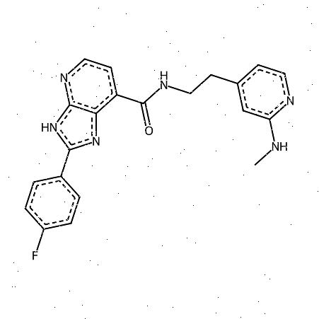 CNc1cc(CCNC(=O)c2ccnc3[nH]c(-c4ccc(F)cc4)nc23)ccn1